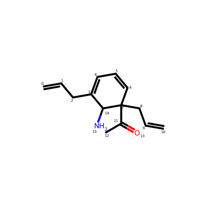 C=CCC1=CC=CC(CC=C)(C(C)=O)C1N